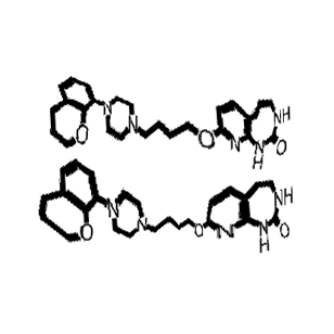 O=C1NCCc2ccc(OCCCCN3CCN(c4cccc5c4OCCC5)CC3)nc2N1.O=C1NCCc2ccc(OCCCCN3CCN(c4cccc5c4OCCC5)CC3)nc2N1